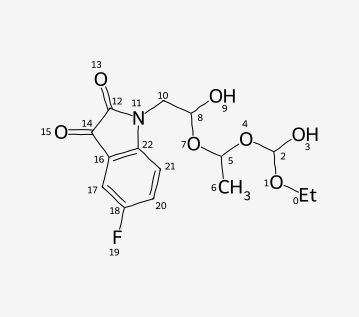 CCOC(O)OC(C)OC(O)CN1C(=O)C(=O)c2cc(F)ccc21